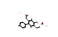 COC(=O)[C@@H](OC(C)(C)C)c1c(C)c2c(c(C)c1-c1ccc(C)cc1)CCN(C(=O)OC(C)(C)C)C2